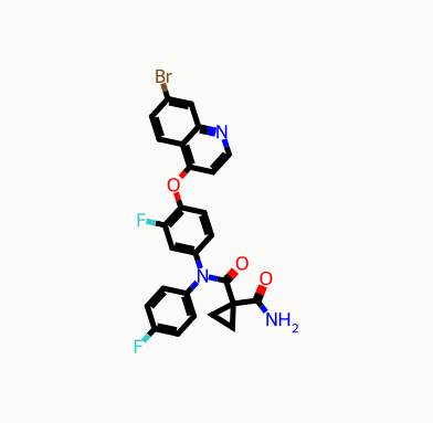 NC(=O)C1(C(=O)N(c2ccc(F)cc2)c2ccc(Oc3ccnc4cc(Br)ccc34)c(F)c2)CC1